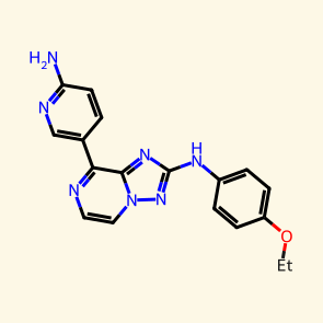 CCOc1ccc(Nc2nc3c(-c4ccc(N)nc4)nccn3n2)cc1